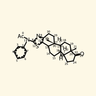 CC(=O)N(c1ccccc1)c1nc2c(s1)C1CC[C@@H]3[C@H](CC[C@]4(C)C(=O)CC[C@@H]34)[C@@]1(C)CC2